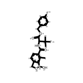 Cc1c(C(=O)NC(C(=O)OCc2ccc(F)cc2)C(C)(C)F)ccc2c1B(O)OC2